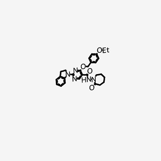 CCOc1ccc(COc2nc(N3CCc4ccccc43)ncc2C(=O)NN2CCCCCC2=O)cc1